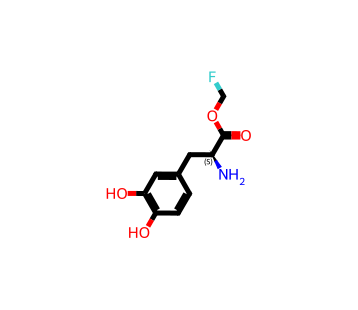 N[C@@H](Cc1ccc(O)c(O)c1)C(=O)OCF